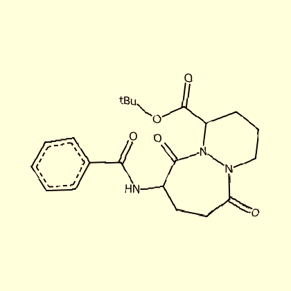 CC(C)(C)OC(=O)C1CCCN2C(=O)CCC(NC(=O)c3ccccc3)C(=O)N12